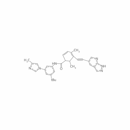 CC1=C(C#Cc2cnc3[nH]ncc3c2)C(C)C(C(=O)Nc2cc(-n3cnc(C)c3)cc(C(C)(C)C)c2)C=C1